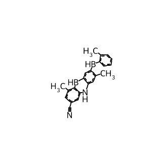 Cc1ccccc1Bc1cc2c(cc1C)Nc1cc(C#N)cc(C)c1B2